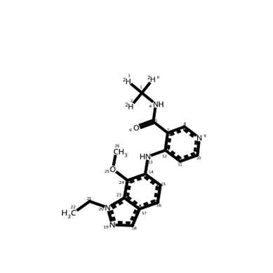 [2H]C([2H])([2H])NC(=O)c1cnccc1Nc1ccc2cnn(CC)c2c1OC